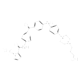 Cn1cccc1C(=O)Nc1ccc(C(=O)c2ccc(Nc3ccc(N4CCN(CCCO)CC4)cc3)cc2)cc1